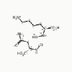 CCN[C@@H](CC(N)=O)C(=O)O.NCCCC[C@H](NO)C(=O)O